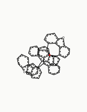 c1ccc(-c2c3ccccc3c(-c3cccc4oc5cccc(-c6c7ccccc7c(-c7cccc8oc9ccccc9c78)c7ccccc67)c5c34)c3ccccc23)cc1